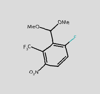 COC(OC)c1c(F)ccc([N+](=O)[O-])c1C(F)(F)F